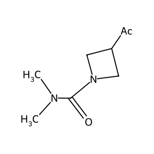 CC(=O)C1CN(C(=O)N(C)C)C1